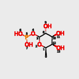 C[C@H]1OC(OP(O)O)[C@H](O)[C@@H](O)[C@H]1O